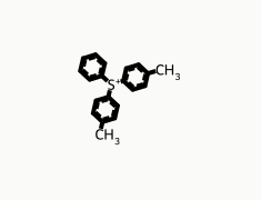 Cc1ccc([S+](c2ccccc2)c2ccc(C)cc2)cc1